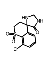 O=C1NCNC12CCS(=O)(=O)c1c(Cl)cccc12